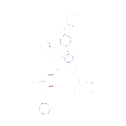 COC(=O)Nc1ccc(-c2cn(COCC[Si](C)(C)C)c(CCC=CC(C)C(=O)OCc3ccccc3)n2)c(NC(=O)C(F)(F)F)c1